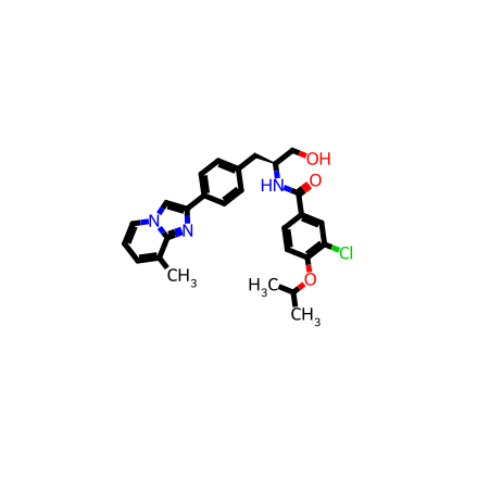 Cc1cccn2cc(-c3ccc(C[C@@H](CO)NC(=O)c4ccc(OC(C)C)c(Cl)c4)cc3)nc12